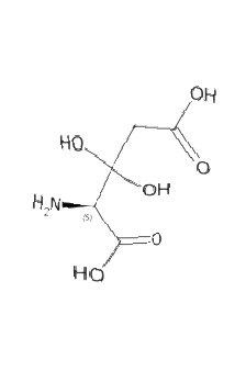 N[C@H](C(=O)O)C(O)(O)CC(=O)O